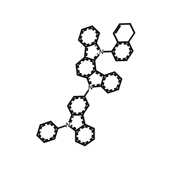 C1=Cc2c(cccc2-n2c3ccccc3c3ccc4c(c5ccccc5n4-c4ccc5c(c4)c4ccccc4n5-c4ccccc4)c32)CC1